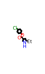 CCc1cc(C(=O)Oc2ccc(Cl)cc2)c[nH]1